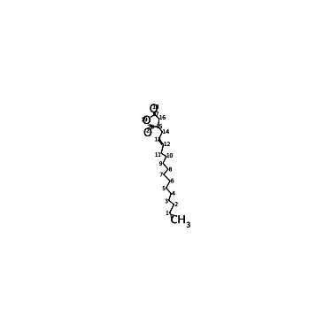 CCCCCCCCCCCCC=CCC1CC(=O)OC1=O